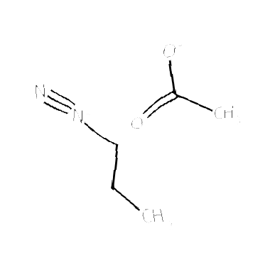 CC(=O)[O-].CCC[N+]#N